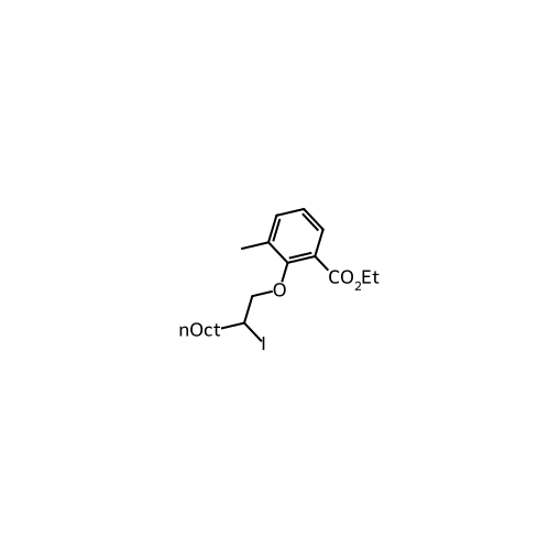 CCCCCCCCC(I)COc1c(C)cccc1C(=O)OCC